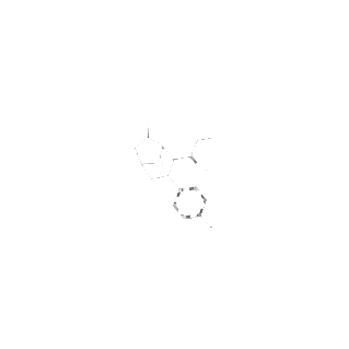 CCC(=O)C1C(c2ccc(I)cc2)CC2CC(O)C1O2